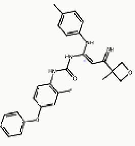 Cc1ccc(N/C(=C\C(=N)C2(C)COC2)NC(=O)Nc2ccc(Oc3ccncc3)cc2F)cc1